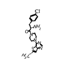 Cc1cc2ncnc(N3CCN(C(=O)[C@H](N)Cc4ccc(Cl)cc4)CC3)c2s1